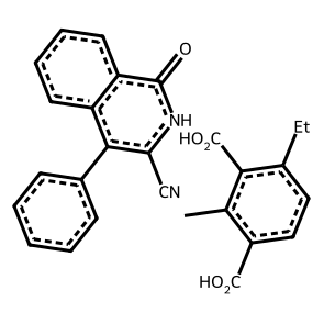 CCc1ccc(C(=O)O)c(C)c1C(=O)O.N#Cc1[nH]c(=O)c2ccccc2c1-c1ccccc1